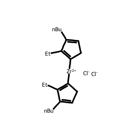 CCCCC1=CC[C]([Zr+2][C]2=C(CC)C(CCCC)=CC2)=C1CC.[Cl-].[Cl-]